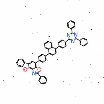 c1ccc(-c2nc(-c3ccccc3)nc(-c3ccc(-c4ccc(-c5ccc(-c6cc7c8ccccc8oc7c7nc(-c8ccccc8)oc67)cc5)c5ccccc45)cc3)n2)cc1